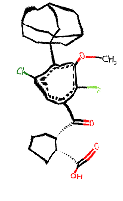 COc1c(F)c(C(=O)[C@H]2CCC[C@H]2C(=O)O)cc(Cl)c1C12CC3CC(CC(C3)C1)C2